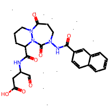 O=CC(CC(=O)O)NC(=O)C1CCCN2C(=O)CCN(NC(=O)c3ccc4ccccc4c3)C(=O)N12